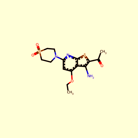 CCOc1cc(N2CCS(=O)(=O)CC2)nc2sc(C(C)=O)c(N)c12